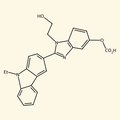 CCn1c2ccccc2c2cc(-c3nc4cc(OC(=O)O)ccc4n3CCO)ccc21